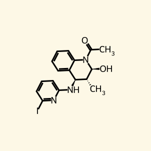 CC(=O)N1c2ccccc2[C@H](Nc2cccc(I)n2)[C@@H](C)[C@@H]1O